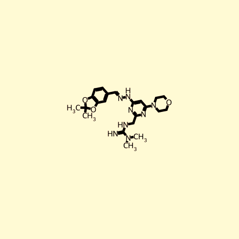 CN(C)C(=N)NCc1nc(NN=Cc2ccc3c(c2)OC(C)(C)O3)cc(N2CCOCC2)n1